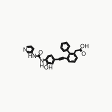 O=C(O)Cc1cccc(C#Cc2ccc(NC(=O)Nc3cccnc3)c(O)c2)c1-c1ccccc1